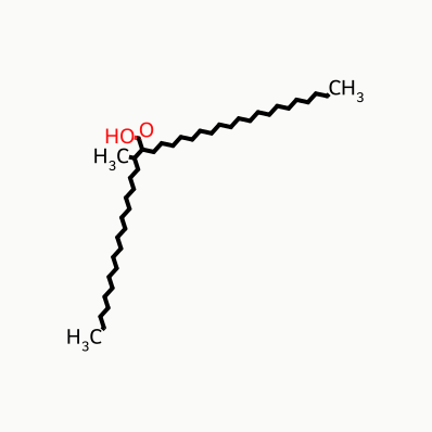 CCCCCCCCCCCCCCCCCCCCC(C(=O)O)C(C)CCCCCCCCCCCCCCCCCC